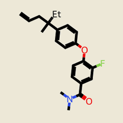 C=CCC(C)(CC)c1ccc(Oc2ccc(C(=O)N(C)C)cc2F)cc1